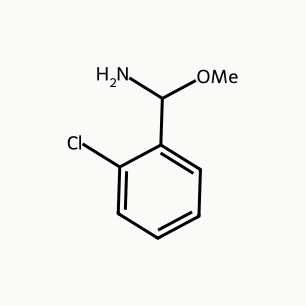 COC(N)c1ccccc1Cl